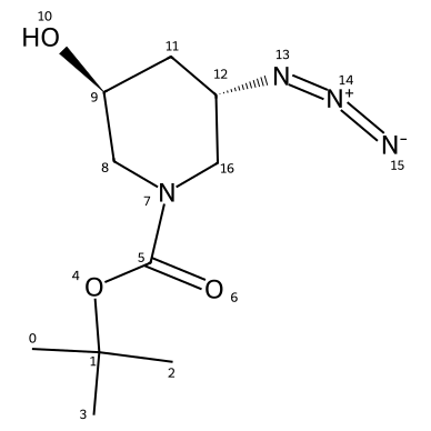 CC(C)(C)OC(=O)N1C[C@@H](O)C[C@H](N=[N+]=[N-])C1